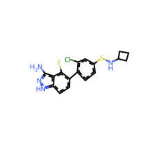 Nc1n[nH]c2ccc(-c3ccc(SNC4CCC4)cc3Cl)c(F)c12